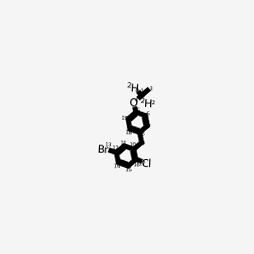 [2H]C([2H])(C)Oc1ccc(Cc2cc(Br)ccc2Cl)cc1